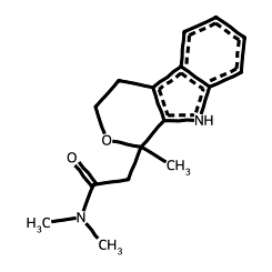 CN(C)C(=O)CC1(C)OCCc2c1[nH]c1ccccc21